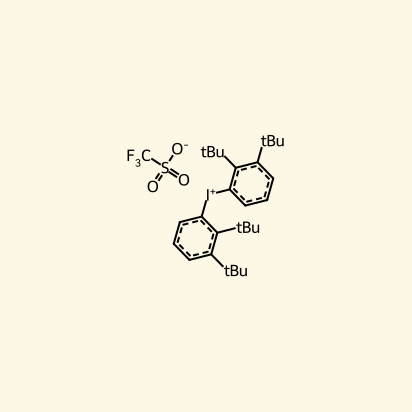 CC(C)(C)c1cccc([I+]c2cccc(C(C)(C)C)c2C(C)(C)C)c1C(C)(C)C.O=S(=O)([O-])C(F)(F)F